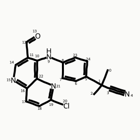 CC(C)(C#N)c1ccc(Nc2c(C=O)cnc3ccc(Cl)nc23)cc1